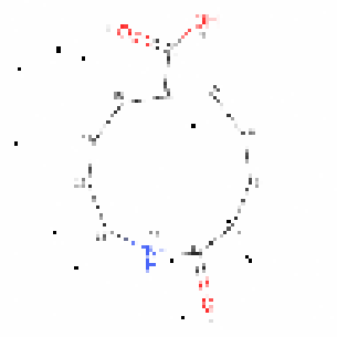 O=C1CCCCC(C(=O)O)CCCCN1